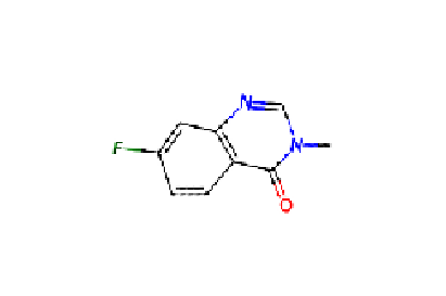 Cn1cnc2cc(F)ccc2c1=O